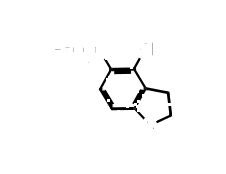 CCOC(=O)c1ccc2c(c1Cl)CCS2